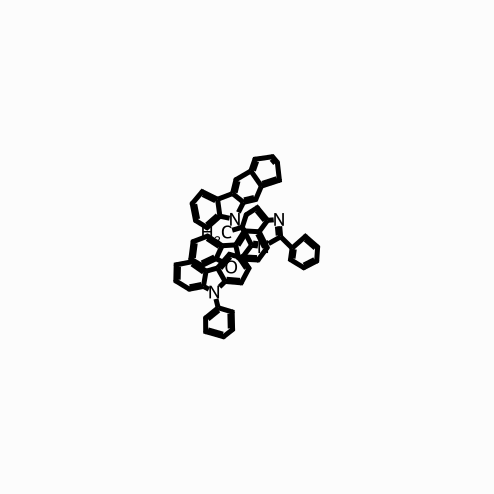 CC1C/C=C(c2ccc3oc4ccccc4c3c2-n2c3ccccc3c3cc4ccccc4cc32)/N=C(c2ccccc2)\N=C/1c1ccc2c(c1)c1ccccc1n2-c1ccccc1